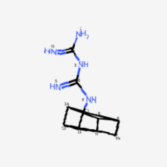 N=C(N)NC(=N)NC12C3C4C5C3C1C5C42